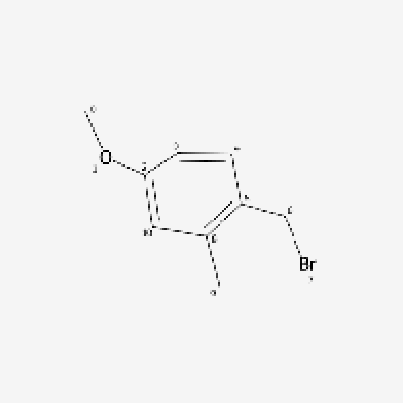 COc1ccc(CBr)c(C)c1